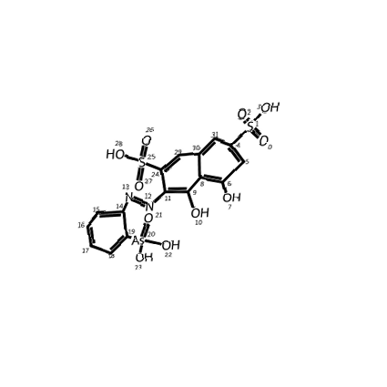 O=S(=O)(O)c1cc(O)c2c(O)c(/N=N/c3ccccc3[As](=O)(O)O)c(S(=O)(=O)O)cc2c1